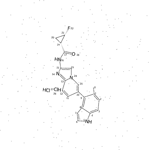 Cc1ccc2[nH]ccc2c1-c1ccc2nc(NC(=O)[C@@H]3C[C@@H]3F)cn2c1.Cl.Cl